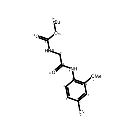 COc1cc(C#N)ccc1NC(=O)CNC(=O)OC(C)(C)C